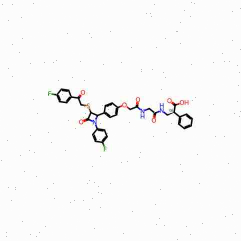 O=C(CNC(=O)COc1ccc(C2C(SCC(=O)c3ccc(F)cc3)C(=O)N2c2ccc(F)cc2)cc1)NC[C@@H](C(=O)O)c1ccccc1